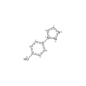 Oc1ccc(-n2ccnn2)cc1